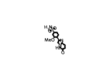 COc1cc(S(N)(=O)=O)ccc1-c1cn2[nH]c(=O)ccc2n1